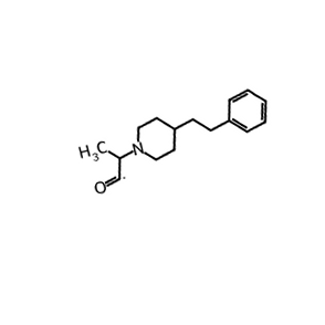 CC([C]=O)N1CCC(CCc2ccccc2)CC1